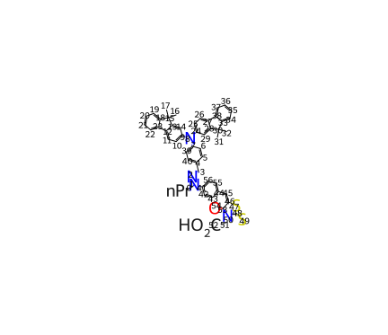 CCCN(/N=C/c1ccc(N(c2ccc3c(c2)C(C)(C)c2ccccc2-3)c2ccc3c(c2)C(C)(C)c2ccccc2-3)cc1)c1ccc(/C=C2/SC(=S)N(CC(=O)O)C2=O)cc1